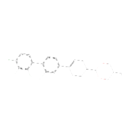 CCCC1COC(C2CC=C(c3ccc(-c4ccc(F)c(F)c4F)c(F)c3)CC2)OC1